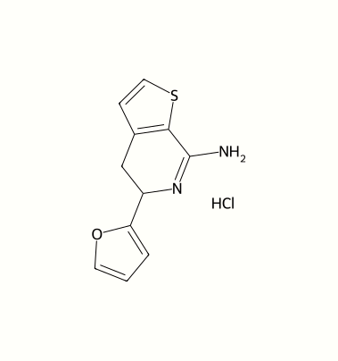 Cl.NC1=NC(c2ccco2)Cc2ccsc21